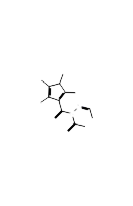 C=C(C)N(/N=C\C)C(=C)C1=C(C)C(C)C(C)=C1C